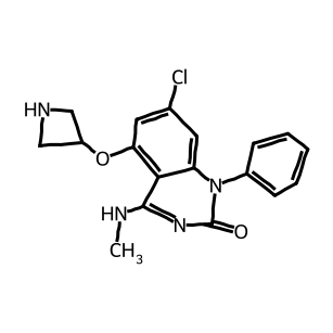 CNc1nc(=O)n(-c2ccccc2)c2cc(Cl)cc(OC3CNC3)c12